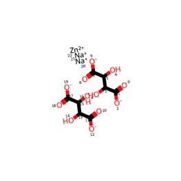 O=C([O-])C(O)C(O)C(=O)[O-].O=C([O-])C(O)C(O)C(=O)[O-].[Na+].[Na+].[Zn+2]